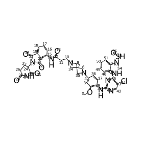 COc1cc(N2CC3(CN(CCC(=O)Nc4cccc5c4C(=O)N(C4CCC(=O)NC4=O)C5=O)C3)C2)ccc1Nc1ncc(Cl)c(Nc2ccccc2N(C)[SH]=O)n1